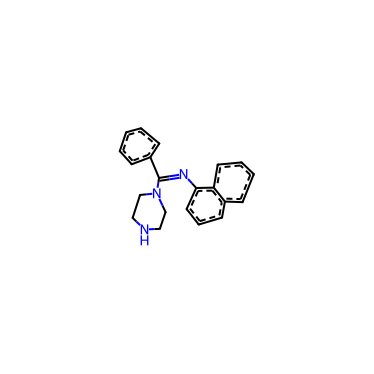 c1ccc(C(=Nc2cccc3ccccc23)N2CCNCC2)cc1